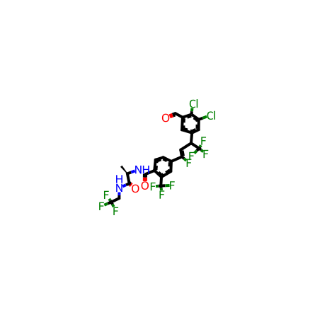 C[C@@H](NC(=O)c1ccc(/C(F)=C/C(c2cc(Cl)c(Cl)c(C=O)c2)C(F)(F)F)cc1C(F)(F)F)C(=O)NCC(F)(F)F